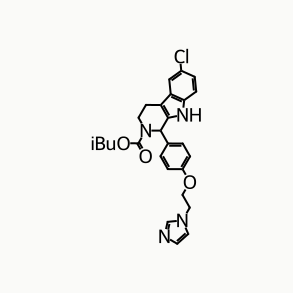 CC(C)COC(=O)N1CCc2c([nH]c3ccc(Cl)cc23)C1c1ccc(OCCn2ccnc2)cc1